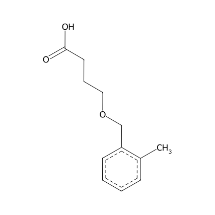 Cc1ccccc1COCCCC(=O)O